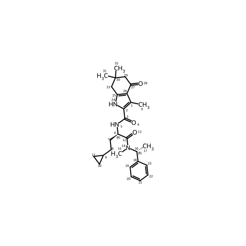 Cc1c(C(=O)N[C@H](CCC2CC2)C(=O)N(C)[C@H](C)c2ccccc2)[nH]c2c1C(=O)CC(C)(C)C2